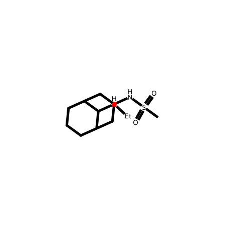 CCNC1C2CCCC1CC(NS(C)(=O)=O)C2